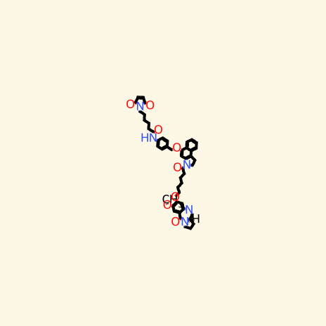 COc1cc2c(cc1OCCCCCC(=O)N1CCc3c1cc(OCc1ccc(NC(=O)CCCCCN4C(=O)C=CC4=O)cc1)c1ccccc31)N=C[C@@H]1CCCN1C2=O